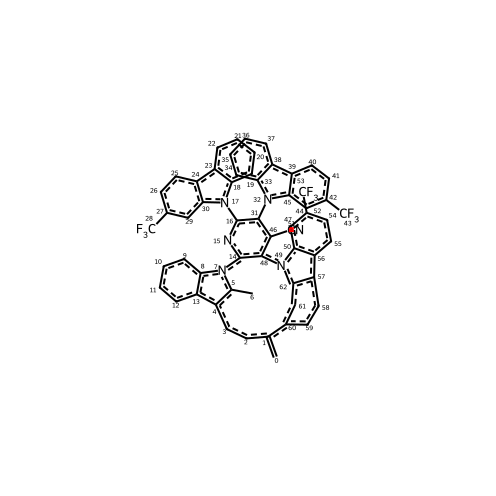 C=c1ccc2c(C)n(c3ccccc23)c2nc(-n3c4ccccc4c4ccc(C(F)(F)F)cc43)c(-n3c4ccccc4c4ccc(C(F)(F)F)cc43)c(C#N)c2n2c3cc(C(F)(F)F)ccc3c3ccc1cc32